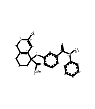 COC(=O)C1(Oc2cccc(C(=O)N(c3ccccc3)C(F)(F)F)c2)CCCC2=C1C=C(C#N)OC2